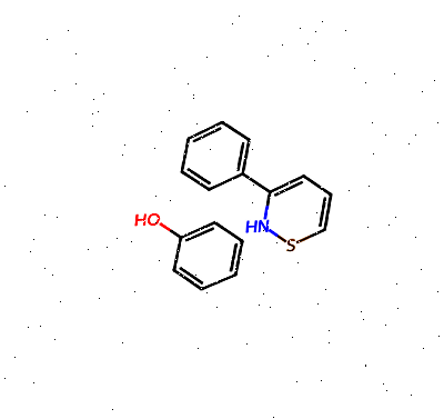 C1=CSNC(c2ccccc2)=C1.Oc1ccccc1